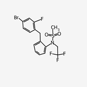 CS(=O)(=O)N(CC(F)(F)F)c1ccccc1Cc1ccc(Br)cc1F